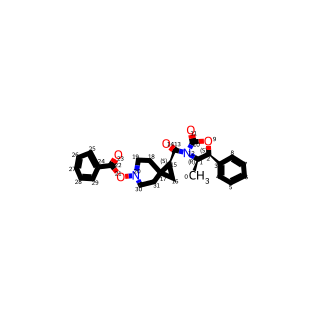 C[C@@H]1[C@H](c2ccccc2)OC(=O)N1C(=O)[C@H]1CC12CCN(OC(=O)c1ccccc1)CC2